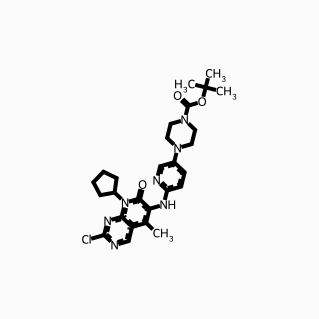 Cc1c(Nc2ccc(N3CCN(C(=O)OC(C)(C)C)CC3)cn2)c(=O)n(C2CCCC2)c2nc(Cl)ncc12